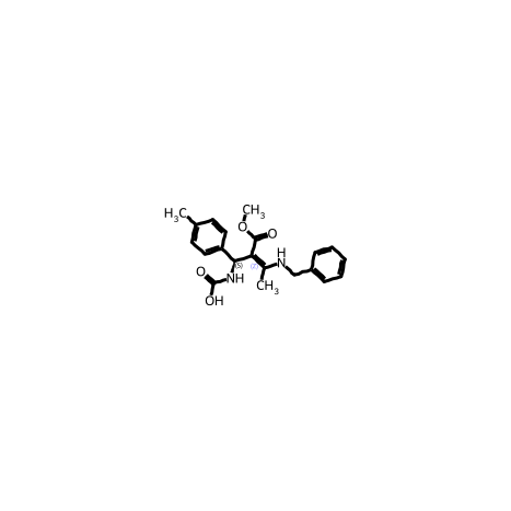 COC(=O)/C(=C(/C)NCc1ccccc1)[C@@H](NC(=O)O)c1ccc(C)cc1